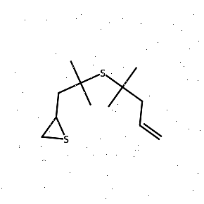 C=CCC(C)(C)SC(C)(C)CC1CS1